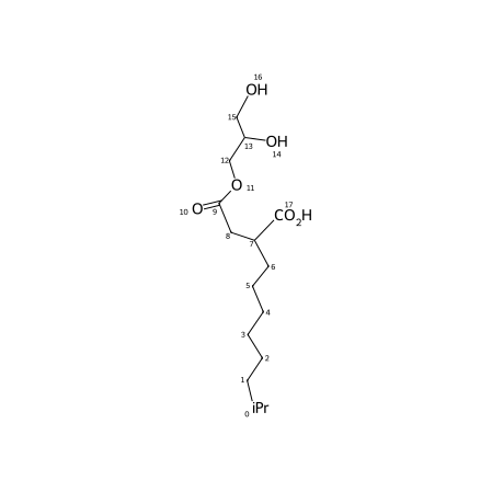 CC(C)CCCCCCC(CC(=O)OCC(O)CO)C(=O)O